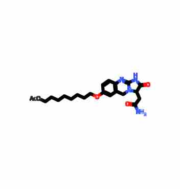 CC(=O)OCCCCCCCCOc1ccc2c(c1)CN1C(=N2)NC(=O)C1CC(N)=O